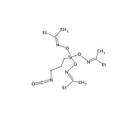 CCC(C)=NO[Si](CCCN=C=O)(ON=C(C)CC)ON=C(C)CC